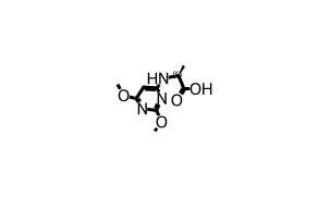 COc1cc(N[C@@H](C)C(=O)O)nc(OC)n1